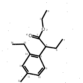 CCOC(=O)C(CC)c1ccc(C)cc1CC